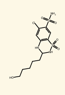 NS(=O)(=O)c1cc2c(cc1Cl)NC(CCCCCO)NS2(=O)=O